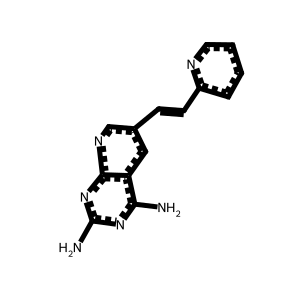 Nc1nc(N)c2cc(C=Cc3ccccn3)cnc2n1